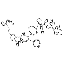 CC(C)(C)OC(=O)NC1(c2ccc(-c3nc4c5cc(C=CC(N)=O)ccc5nn4cc3-c3ccccc3)cc2)CCC1